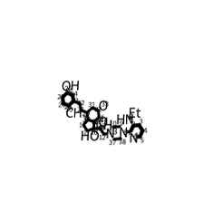 CCNc1cccnc1N1CCN(CC(=O)C2(O)CCC3C(CCc4cc(O)ccc4C)CC(=O)CC32C)CC1